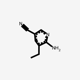 CCc1cc(C#N)cnc1N